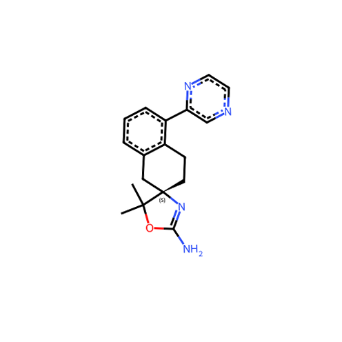 CC1(C)OC(N)=N[C@]12CCc1c(cccc1-c1cnccn1)C2